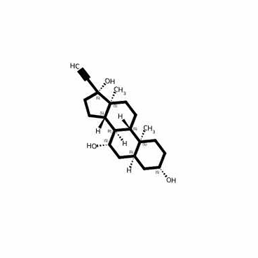 C#C[C@]1(O)CC[C@H]2[C@@H]3[C@@H](O)C[C@@H]4C[C@@H](O)CC[C@]4(C)[C@H]3CC[C@@]21C